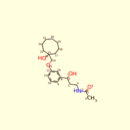 CC(=O)NCCC(O)c1cccc(OCC2(O)CCCCCCC2)c1